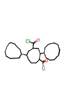 O=C(Cl)C1CC(C2CCCCCCCC2)CCCC(C(=O)Cl)C(C2CCCCCCCCC2)C1